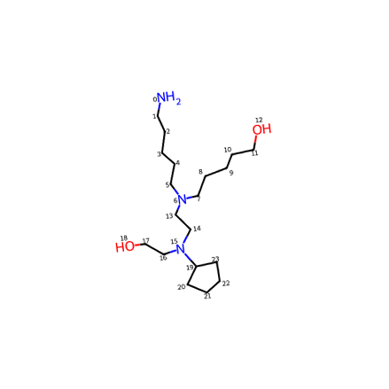 NCCCCCN(CCCCCO)CCN(CCO)C1CCCC1